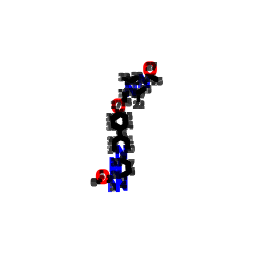 COc1nnc2ccc(N3CCC(c4ccc(OCCN5[C@H](C)CN(C(C)=O)C[C@@H]5C)cc4)CC3)nn12